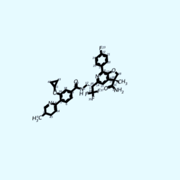 CC1C=NC(c2ccc(C(=O)NC[C@H](c3cc4c(c(-c5ccc(F)cc5)n3)OC[C@]4(C)C(N)=O)C(F)(F)F)cc2OC2CC2)=CC1